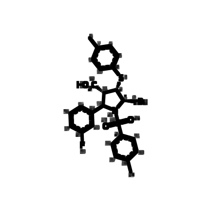 CCCC[C@@H]1[C@@H](Sc2ccc(C)cc2)[C@@H](C(=O)O)C(c2cccc(F)c2)N1S(=O)(=O)c1ccc(C)cc1